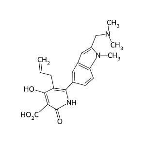 C=CCc1c(-c2ccc3c(c2)cc(CN(C)C)n3C)[nH]c(=O)c(C(=O)O)c1O